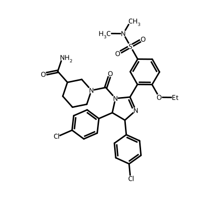 CCOc1ccc(S(=O)(=O)N(C)C)cc1C1=NC(c2ccc(Cl)cc2)C(c2ccc(Cl)cc2)N1C(=O)N1CCCC(C(N)=O)C1